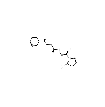 O=C(CCC(=O)C1C=CC=CC1)NCC(=O)N1CCCC1B(O)O